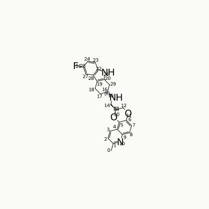 Cc1ccc2c3c(ccc2n1)OC[C@H](CN[C@@H]1CCc2c([nH]c4ccc(F)cc24)C1)O3